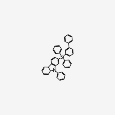 C1=CC2c3ccc([Si](c4ccccc4)(c4ccccc4)c4cccc(-c5ccccc5)c4)cc3N(c3ccccc3)C2C=C1